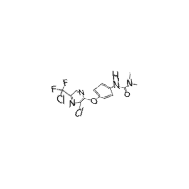 CN(C)C(=O)Nc1ccc(Oc2ncc(C(F)(F)Cl)nc2Cl)cc1